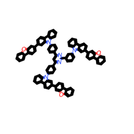 c1cc(-c2nc(-c3ccc(-n4c5ccccc5c5ccc(-c6ccc7c(c6)oc6ccccc67)cc54)cc3)cc(-c3ccc(-n4c5ccccc5c5ccc(-c6ccc7c(c6)oc6ccccc67)cc54)cc3)n2)cc(-n2c3ccccc3c3ccc(-c4ccc5c(c4)oc4ccccc45)cc32)c1